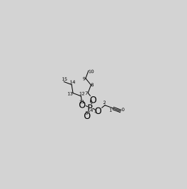 C#CCOP(=O)(OCCCC)OCCCC